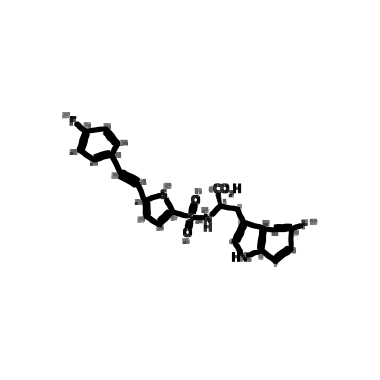 O=C(O)[C@@H](Cc1c[nH]c2ccc(F)cc12)NS(=O)(=O)c1ccc(C#Cc2ccc(F)cc2)s1